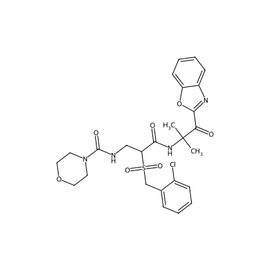 CC(C)(NC(=O)C(CNC(=O)N1CCOCC1)S(=O)(=O)Cc1ccccc1Cl)C(=O)c1nc2ccccc2o1